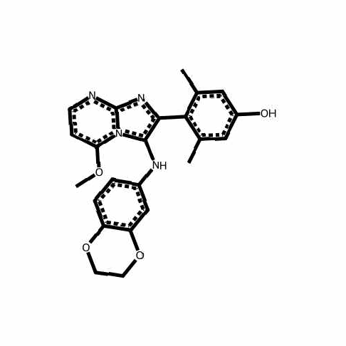 COc1ccnc2nc(-c3c(C)cc(O)cc3C)c(Nc3ccc4c(c3)OCCO4)n12